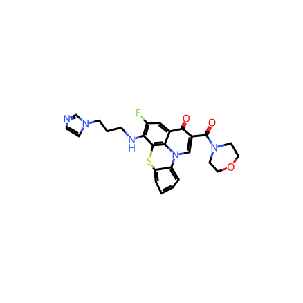 O=C(c1cn2c3c(c(NCCCn4ccnc4)c(F)cc3c1=O)Sc1ccccc1-2)N1CCOCC1